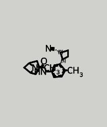 Cc1ccc(NC(=O)N2C3CC(C)CC2C3)cc1[C@H]1CC[C@H]1C#N